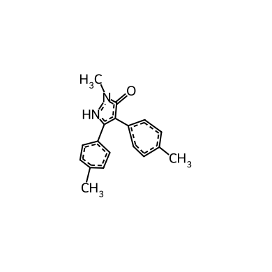 Cc1ccc(-c2[nH]n(C)c(=O)c2-c2ccc(C)cc2)cc1